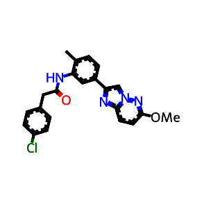 COc1ccc2nc(-c3ccc(C)c(NC(=O)Cc4ccc(Cl)cc4)c3)cn2n1